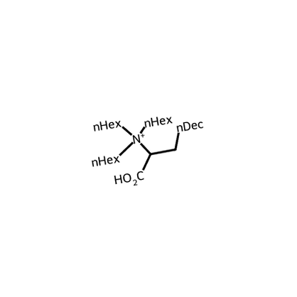 CCCCCCCCCCCC(C(=O)O)[N+](CCCCCC)(CCCCCC)CCCCCC